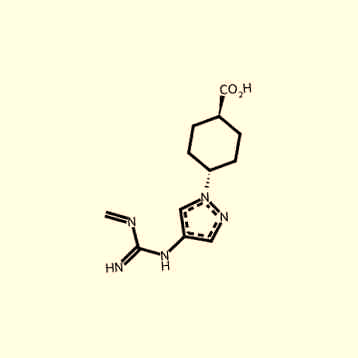 C=NC(=N)Nc1cnn([C@H]2CC[C@H](C(=O)O)CC2)c1